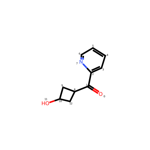 O=C(c1ccccn1)C1CC(O)C1